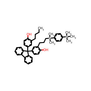 CCCCc1cc(C2(c3ccc(O)c(CCC[Si](C)(C)c4ccc([Si](C)(C)C)cc4)c3)c3ccccc3-c3ccccc32)ccc1O